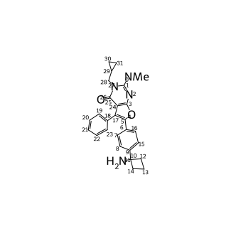 CNc1nc2oc(-c3ccc(C4(N)CCC4)cc3)c(-c3ccccc3)c2c(=O)n1CC1CC1